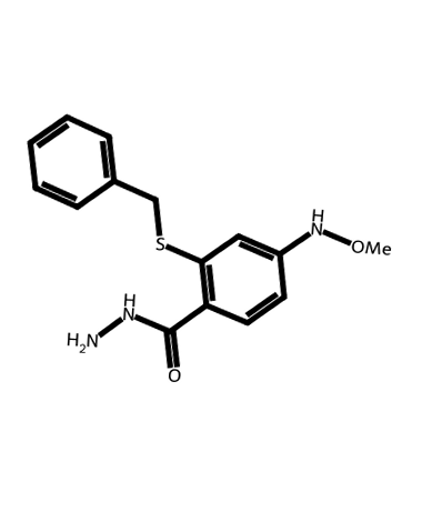 CONc1ccc(C(=O)NN)c(SCc2ccccc2)c1